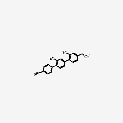 CCCc1ccc(-c2ccc(-c3ccc(CO)cc3CC)cc2CC)cc1